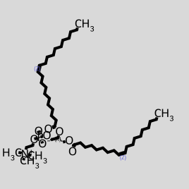 CCCCCCCCC/C=C\CCCCCCCC(=O)OC[C@H](COP(=O)([O-])OCC[N+](C)(C)C)OC(=O)CCCCCCCCC/C=C\CCCCCCCCCC